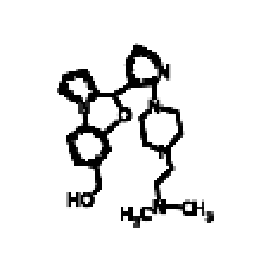 CN(C)CCN1CCN(c2ncccc2C2Oc3cc(CO)ccc3-n3cccc32)CC1